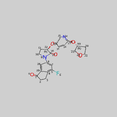 O=C1CCc2c(F)cc(N3CC[C@@H](Oc4ccc(O[C@@H]5CCOC5)nc4)C3=O)cc21